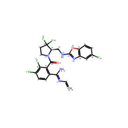 C=C/N=C(\N)c1ccc(F)c(F)c1C(=O)N1CCC(F)(F)[C@H]1CNc1nc2cc(F)ccc2o1